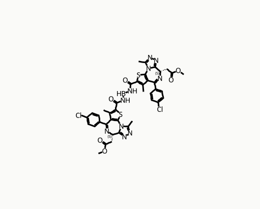 COC(=O)C[C@@H]1N=C(c2ccc(Cl)cc2)c2c(sc(C(=O)NBNC(=O)c3sc4c(c3C)C(c3ccc(Cl)cc3)=N[C@@H](CC(=O)OC)c3nnc(C)n3-4)c2C)-n2c(C)nnc21